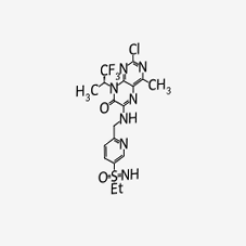 CCS(=N)(=O)c1ccc(CNc2nc3c(C)nc(Cl)nc3n([C@@H](C)C(F)(F)F)c2=O)nc1